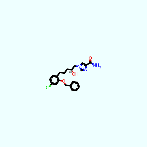 NC(=O)c1cn(C[C@@H](O)CCCc2ccc(Cl)cc2OCc2ccccc2)cn1